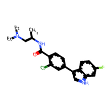 CCN(CC)CC(C)NC(=O)c1ccc(-c2c[nH]c3cc(F)ccc23)cc1Cl